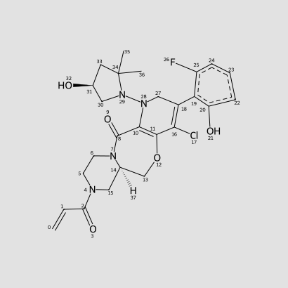 C=CC(=O)N1CCN2C(=O)C3=C(OC[C@H]2C1)C(Cl)=C(c1c(O)cccc1F)CN3N1C[C@@H](O)CC1(C)C